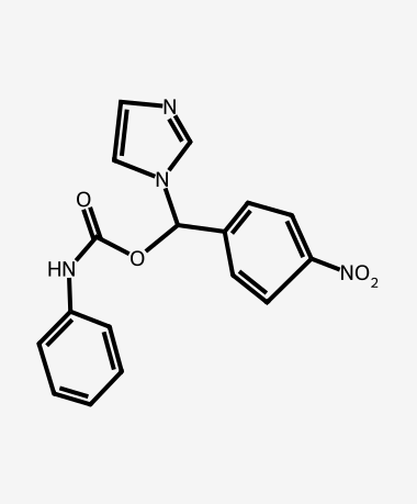 O=C(Nc1ccccc1)OC(c1ccc([N+](=O)[O-])cc1)n1ccnc1